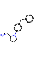 NCC1CCCN1c1ccc(Cc2ccccc2)cc1